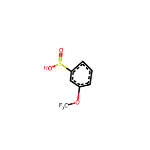 O=S(O)c1cccc(OC(F)(F)F)c1